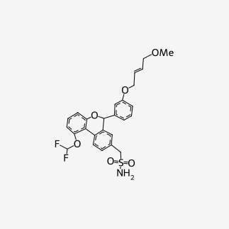 COC/C=C/COc1cccc(C2Oc3cccc(OC(F)F)c3-c3ccc(CS(N)(=O)=O)cc32)c1